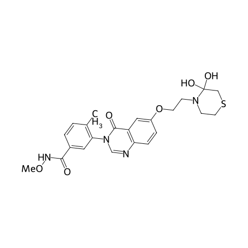 CONC(=O)c1ccc(C)c(-n2cnc3ccc(OCCN4CCSCC4(O)O)cc3c2=O)c1